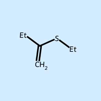 C=C(CC)SCC